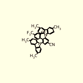 Cc1ccc2c(c1)c1cc(C)ccc1n2-c1cc(C#N)cc(-n2c3ccc(C)cc3c3cc(C)ccc32)c1-c1ccc(C(F)(F)F)cc1C(F)(F)F